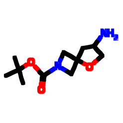 CC(C)(C)OC(=O)N1CC2(CC(N)CO2)C1